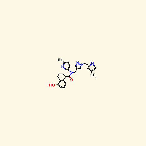 CC(C)c1ccc(N(Cc2cnn(Cc3cc(C(F)(F)F)ccn3)c2)C(=O)C2CCCc3c(O)cccc32)cn1